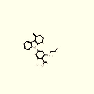 C=C1CCCc2c1c1ccccc1n2-c1ccc(C(N)=O)c(NCCC)c1